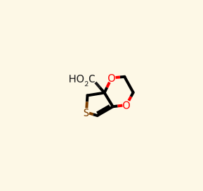 O=C(O)C12CSC=C1OCCO2